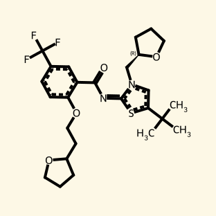 CC(C)(C)c1cn(C[C@H]2CCCO2)c(=NC(=O)c2cc(C(F)(F)F)ccc2OCCC2CCCO2)s1